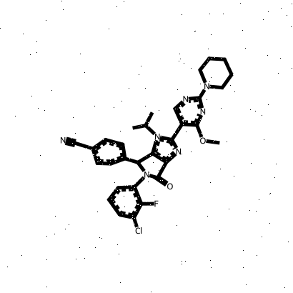 COc1nc(N2CCCCC2)ncc1-c1nc2c(n1C(C)C)C(c1ccc(C#N)cc1)N(c1cccc(Cl)c1F)C2=O